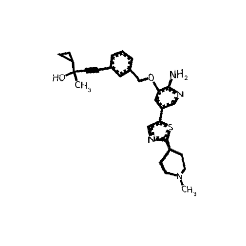 CN1CCC(c2ncc(-c3cnc(N)c(OCc4cccc(C#CC(C)(O)C5CC5)c4)c3)s2)CC1